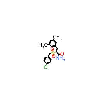 Cc1cc(C)cc(C=C(C(N)=O)S(=O)(=O)Cc2ccc(Cl)cc2)c1